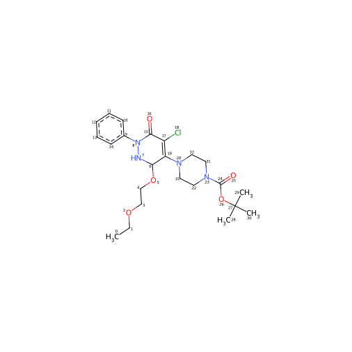 CCOCCOC1NN(c2ccccc2)C(=O)C(Cl)=C1N1CCN(C(=O)OC(C)(C)C)CC1